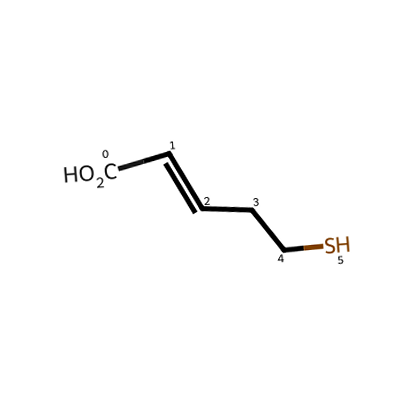 O=C(O)C=CCCS